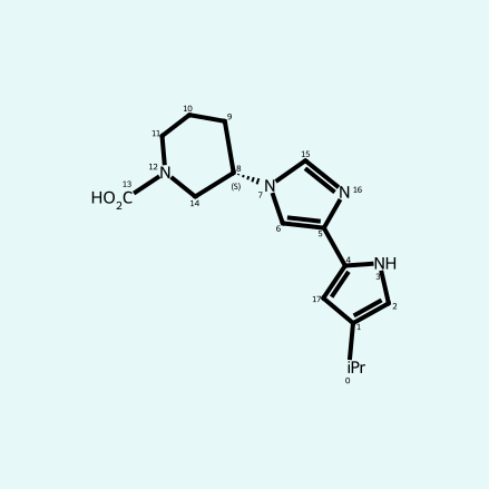 CC(C)c1c[nH]c(-c2cn([C@H]3CCCN(C(=O)O)C3)cn2)c1